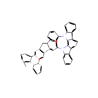 Cc1cccc(-c2ccc3c(c2)CC2CC=C(n4c5ccccc5c5ccc6c7ccccc7n(-c7ccccc7)c6c54)C=C32)c1C1C=CC=CC1C